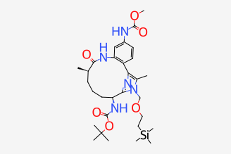 COC(=O)Nc1ccc2c(c1)NC(=O)[C@H](C)CCC[C@H](NC(=O)OC(C)(C)C)c1nc-2c(C)n1COCC[Si](C)(C)C